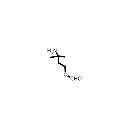 CC(C)(N)CCOC=O